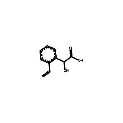 C=Cc1ccccc1C(O)C(=O)O